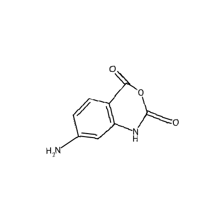 Nc1ccc2c(=O)oc(=O)[nH]c2c1